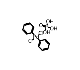 O=P(O)(O)O.[Cl][Pd]([Cl])([c]1ccccc1)[c]1ccccc1